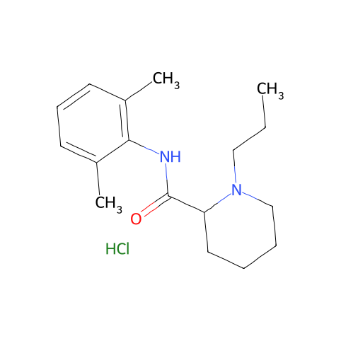 CCCN1CCCCC1C(=O)Nc1c(C)cccc1C.Cl